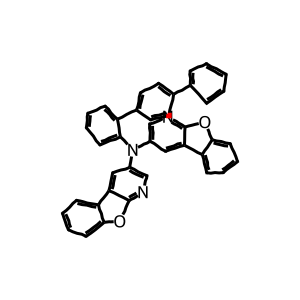 c1ccc(-c2ccc(-c3ccccc3N(c3cnc4oc5ccccc5c4c3)c3cnc4oc5ccccc5c4c3)cc2)cc1